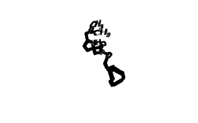 CN(C)CC1CCC2(CN(OCc3ccccc3)C2=O)N1